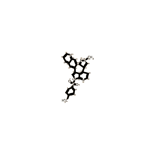 Cc1ccc(S(=O)(=O)n2cc(-c3ccc4ncccc4c3)c3c(-c4cnn(C)c4)ccnc32)cc1